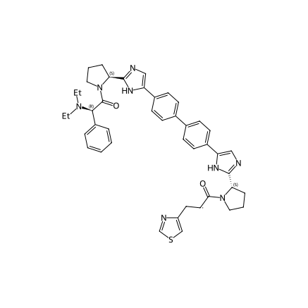 CCN(CC)[C@@H](C(=O)N1CCC[C@H]1c1ncc(-c2ccc(-c3ccc(-c4cnc([C@@H]5CCCN5C(=O)[CH]Cc5cscn5)[nH]4)cc3)cc2)[nH]1)c1ccccc1